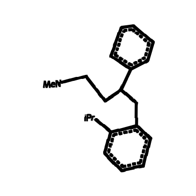 CNCCC(Cc1ccccc1C(C)C)c1ccccc1